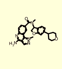 CN(C(=O)c1ccc2nc(N)c3cnn(C)c3c2c1)C1COc2cc(C3CCOCC3)ccc21